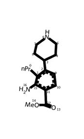 CCCc1c(C2CCNCC2)ccc(C(=O)OC)c1N